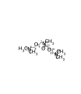 CN(C)CCOCCN(C)C(=O)COCCN(C)C